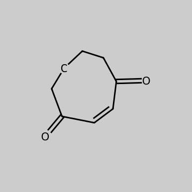 O=C1C=CC(=O)CCCC1